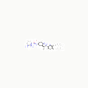 COc1ccc(-c2[nH]c3ccc(NC(=O)[C@H]4CCCCC4N)cc3c2C(C)C)cc1OC